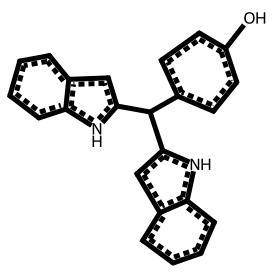 Oc1ccc(C(c2cc3ccccc3[nH]2)c2cc3ccccc3[nH]2)cc1